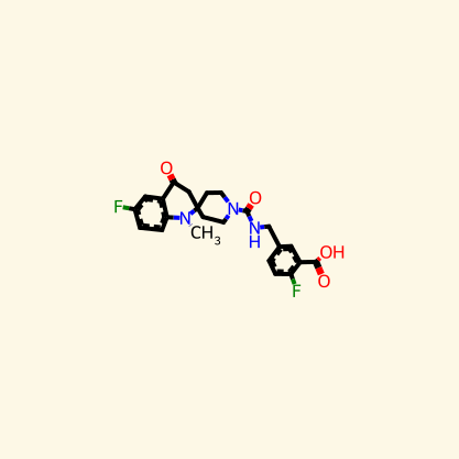 CN1c2ccc(F)cc2C(=O)CC12CCN(C(=O)NCc1ccc(F)c(C(=O)O)c1)CC2